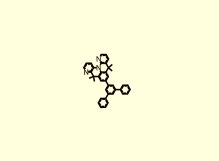 CC1(C)c2cccnc2N2c3cccnc3C(C)(C)c3cc(-c4cc(-c5ccccc5)cc(-c5ccccc5)c4)cc1c32